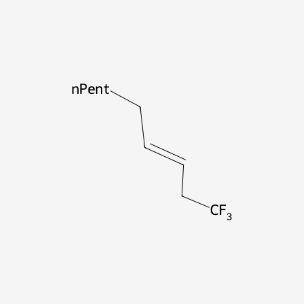 CCCCCCC=CCC(F)(F)F